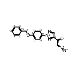 [N-]=[N+]=CC(=O)c1cnn(-c2ccc(OCc3ccccc3)cc2)n1